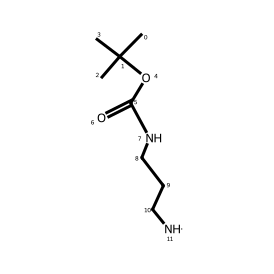 CC(C)(C)OC(=O)NCCC[NH]